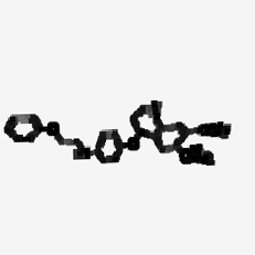 COc1cc2nccc(Oc3ccc(NCCOc4ccccc4)cc3)c2cc1OC